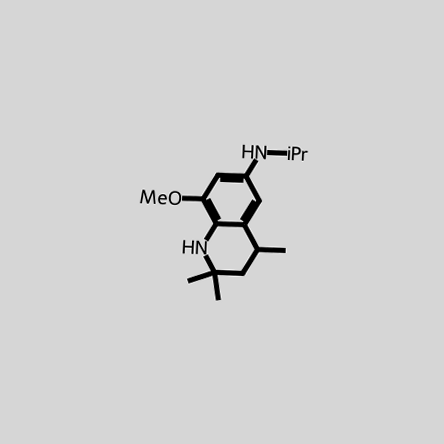 COc1cc(NC(C)C)cc2c1NC(C)(C)CC2C